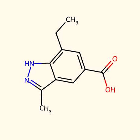 CCc1cc(C(=O)O)cc2c(C)n[nH]c12